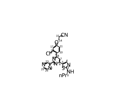 CCCNc1ncc(-c2cc(-c3ccc(OCCC#N)cc3Cl)nc(-c3cnccn3)n2)s1